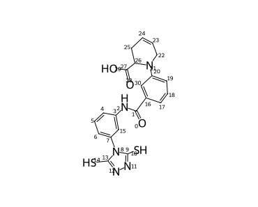 O=C(Nc1cccc(-n2c(S)nnc2S)c1)c1cccc(N2CC=CCC2C(=O)O)c1